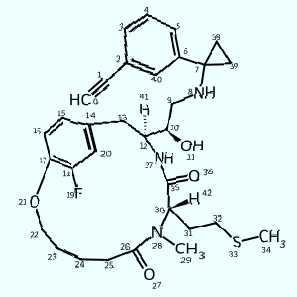 C#Cc1cccc(C2(NC[C@@H](O)[C@@H]3Cc4ccc(c(F)c4)OCCCCC(=O)N(C)[C@@H](CCSC)C(=O)N3)CC2)c1